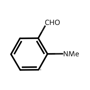 CNc1[c]cccc1C=O